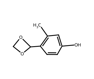 Cc1cc(O)ccc1C1OCO1